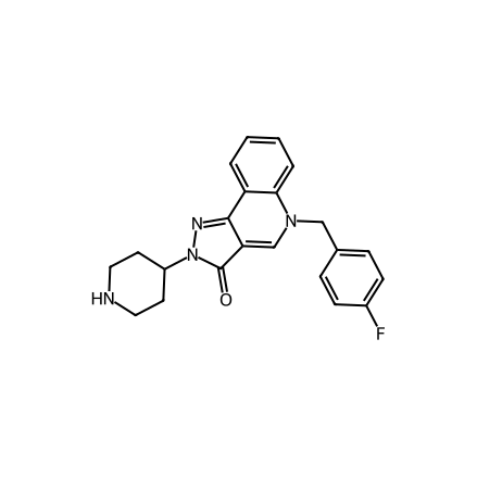 O=c1c2cn(Cc3ccc(F)cc3)c3ccccc3c-2nn1C1CCNCC1